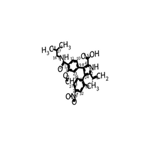 C=Cc1[nH]c(C(=O)O)c(-c2ccc(C(=O)NCC(C)C)c(OC)c2)c1-c1ccc([N+](=O)[O-])cc1C